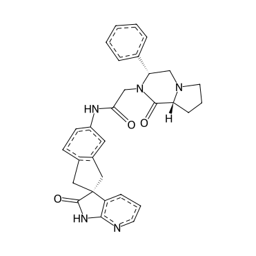 O=C(CN1C(=O)[C@H]2CCCN2C[C@H]1c1ccccc1)Nc1ccc2c(c1)C[C@@]1(C2)C(=O)Nc2ncccc21